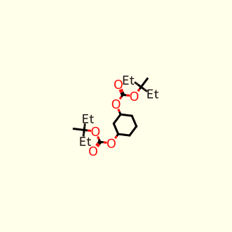 CCC(C)(CC)OC(=O)OC1CCCC(OC(=O)OC(C)(CC)CC)C1